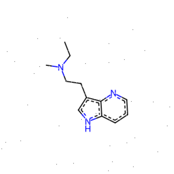 CCN(C)CCc1c[nH]c2cccnc12